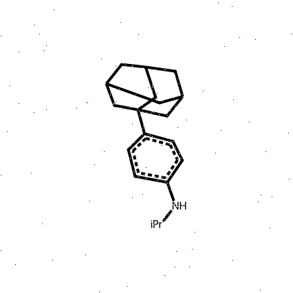 CC(C)Nc1ccc(C23CC4CC(CC(C4)C2)C3)cc1